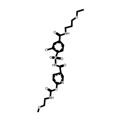 CCOCCCNC(=O)c1ccc(S(=O)(=O)NC(=O)c2ccc(OC(=O)NCCOC)nc2)c(Cl)c1